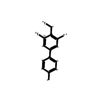 Cc1ccc(-c2cc(F)c(CF)c(F)c2)cc1